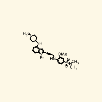 CCn1c(C#CCNc2ccc(S(=O)(=O)N(C)C)cc2OC)cc2c(NC3CCN(C)CC3)cccc21